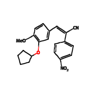 COc1ccc(C=C(C#N)c2ccc([N+](=O)[O-])cc2)cc1OC1CCCC1